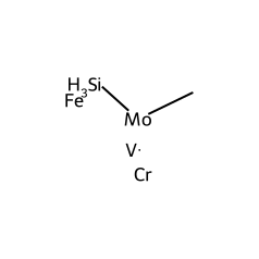 [CH3][Mo][SiH3].[Cr].[Fe].[V]